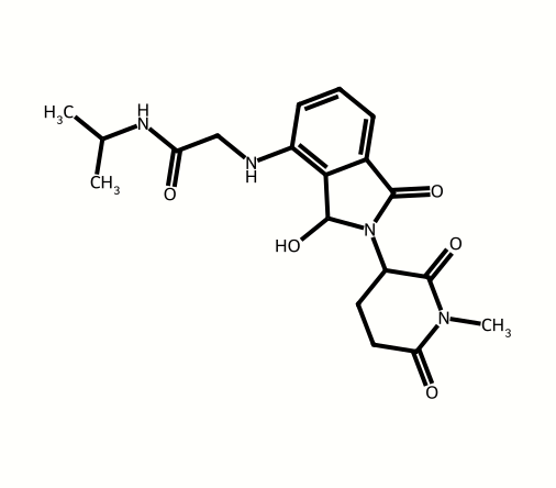 CC(C)NC(=O)CNc1cccc2c1C(O)N(C1CCC(=O)N(C)C1=O)C2=O